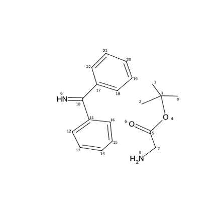 CC(C)(C)OC(=O)CN.N=C(c1ccccc1)c1ccccc1